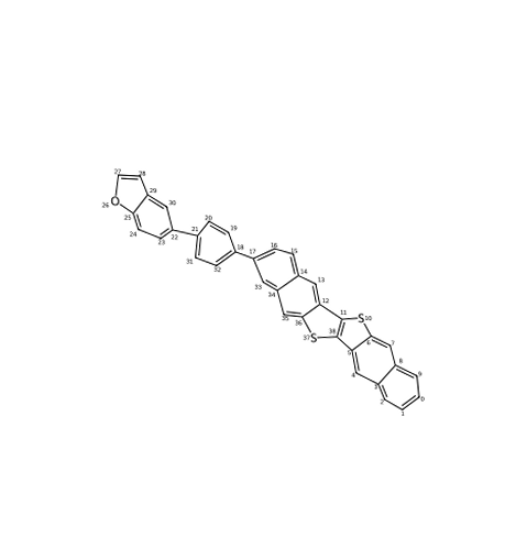 c1ccc2cc3c(cc2c1)sc1c2cc4ccc(-c5ccc(-c6ccc7occc7c6)cc5)cc4cc2sc31